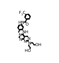 Cc1ccc(NC(=O)c2cccc(C(F)(F)F)c2)cc1Nc1ncnc2nc(N(CCO)CCO)ncc12